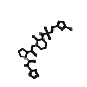 O=C(Nc1nncs1)[C@@H]1CCCN1C(=O)CN1CCC[C@H](NS(=O)(=O)/C=C/c2ccc(Cl)s2)C1=O